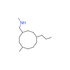 CCCC1CCCC(C)CCC(CNC)CC1